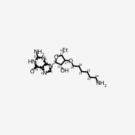 CC[C@H]1O[C@@H](n2cnc3c(=O)[nH]c(N)nc32)[C@@H](O)C1OCCCCCCN